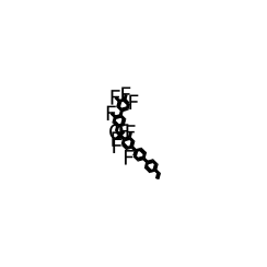 C=Cc1ccc(-c2ccc(-c3cc(F)c(C(F)(F)Oc4ccc(-c5cc(F)c(F)c(F)c5)c(F)c4)c(F)c3)c(F)c2)cc1